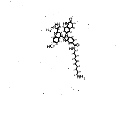 Cl.Cn1cncc1-c1cc(-c2nc3cc(C(=O)NCCCCCCCCCCN)ccc3n2-c2ccc3c(c2)CCC(=O)N3)c2ccccc2n1